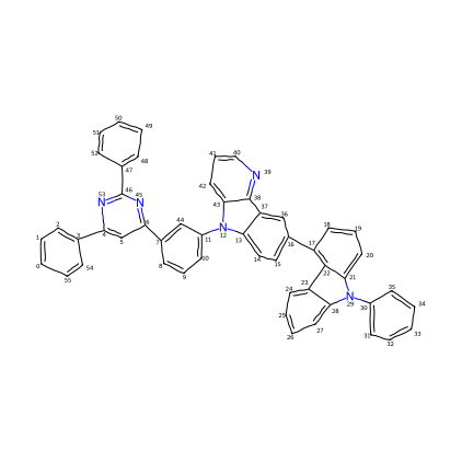 c1ccc(-c2cc(-c3cccc(-n4c5ccc(-c6cccc7c6c6ccccc6n7-c6ccccc6)cc5c5ncccc54)c3)nc(-c3ccccc3)n2)cc1